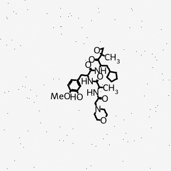 COc1ccc(CC(NC(=O)C(C)NC(=O)CN2CCOCC2)C(=O)NC(CC2CCCC2)C(=O)C2(C)CO2)cc1O